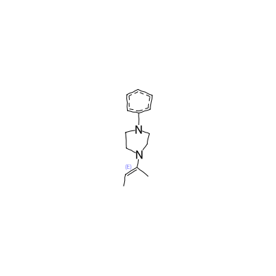 C/C=C(\C)N1CCN(c2ccccc2)CC1